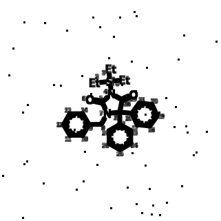 CC[Si](CC)(CC)N1C(=O)N(Cc2ccccc2)C(c2ccccc2)(c2ccccc2)C1=O